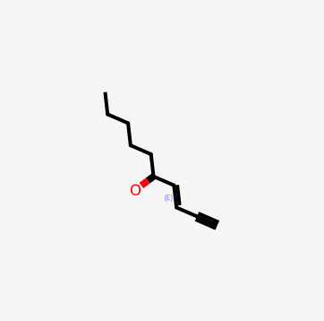 C#C/C=C/C(=O)CCCCC